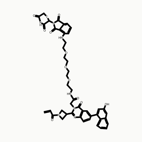 C=CC(=O)N1CC(c2nc3ccc(-c4cc(O)cc5ccccc45)cc3c(=O)n2CC(=O)NCCOCCOCCOCCNc2cccc3c2C(=O)N(C2CCC(=O)NC2=O)C3=O)C1